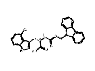 O=C(N[C@@H](Cc1c[nH]c2cccc(Cl)c12)C(=O)O)OCC1c2ccccc2-c2ccccc21